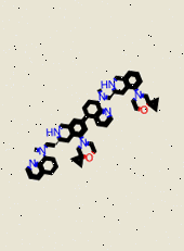 CN(CC[C@H]1Cc2c(cc(C3CC[C@H](N(C)C[C@@H]4Cc5c(cccc5N5CCOC6(CC6)C5)CN4)c4ncccc43)cc2N2CCOC3(CC3)C2)CN1)[C@H]1CCCc2cccnc21